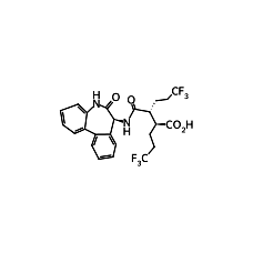 O=C1Nc2ccccc2-c2ccccc2[C@@H]1NC(=O)[C@H](CCC(F)(F)F)[C@H](CCC(F)(F)F)C(=O)O